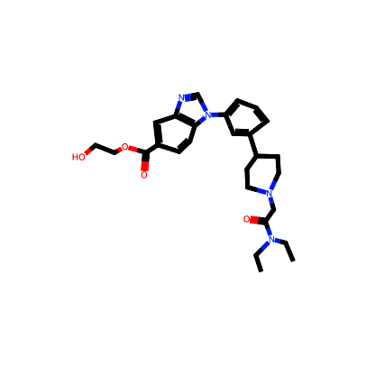 CCN(CC)C(=O)CN1CCC(c2cccc(-n3cnc4cc(C(=O)OCCO)ccc43)c2)CC1